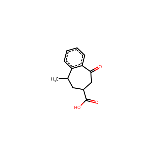 CC1CC(C(=O)O)CC(=O)c2ccccc21